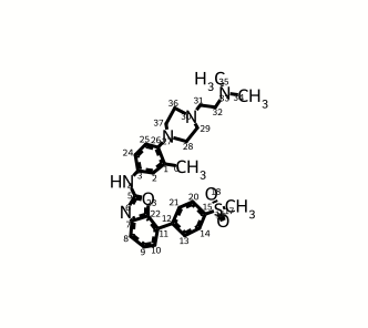 Cc1cc(Nc2nc3cccc(-c4ccc(S(C)(=O)=O)cc4)c3o2)ccc1N1CCN(CCN(C)C)CC1